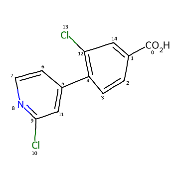 O=C(O)c1ccc(-c2ccnc(Cl)c2)c(Cl)c1